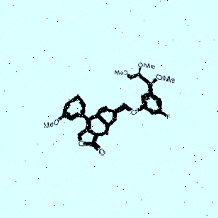 COC[C@@H](OC)[C@@H](OC)c1cc(F)cc(OC=C2C=CC3=C(C2)CC2C(=O)OCC2=C3c2cccc(OC)c2)c1